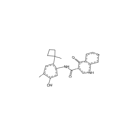 Cc1cc(C2(C)CCC2)c(NC(=O)c2c[nH]c3ccccc3c2=O)cc1O